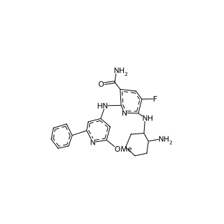 COc1cc(Nc2nc(NC3CCCCC3N)c(F)cc2C(N)=O)cc(-c2ccccc2)n1